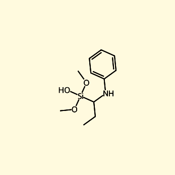 CCC(Nc1ccccc1)[Si](O)(OC)OC